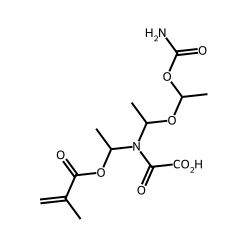 C=C(C)C(=O)OC(C)N(C(=O)C(=O)O)C(C)OC(C)OC(N)=O